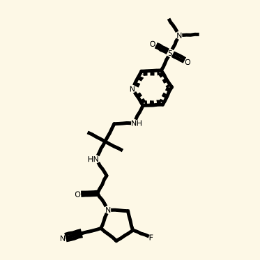 CN(C)S(=O)(=O)c1ccc(NCC(C)(C)NCC(=O)N2CC(F)CC2C#N)nc1